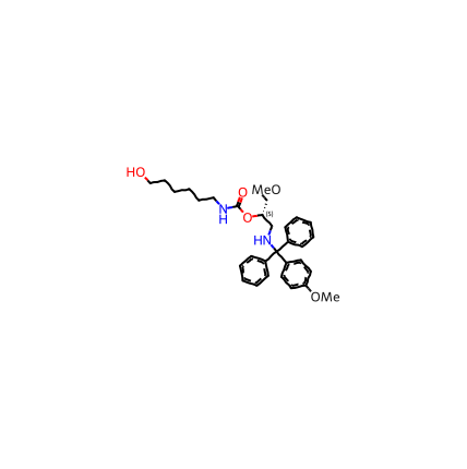 COC[C@H](CNC(c1ccccc1)(c1ccccc1)c1ccc(OC)cc1)OC(=O)NCCCCCCO